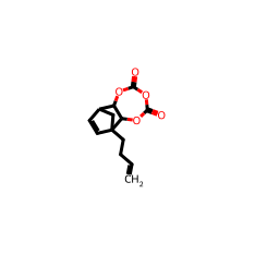 C=CCCC12C=CC(C1)C1OC(=O)OC(=O)OC12